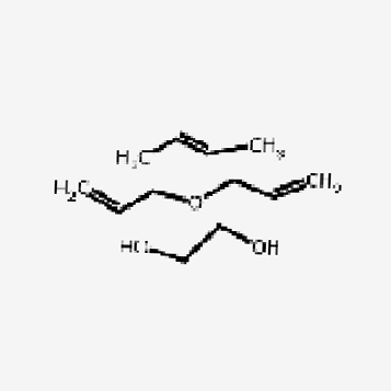 C/C=C/C.C=CCOCC=C.OCCO